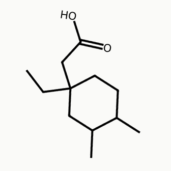 CCC1(CC(=O)O)CCC(C)C(C)C1